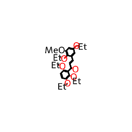 CCOc1cc(C=CC(=O)c2c(OCC)ccc(OCC)c2OCC)c(OCC)c(OC)c1